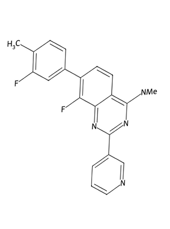 CNc1nc(-c2cccnc2)nc2c(F)c(-c3ccc(C)c(F)c3)ccc12